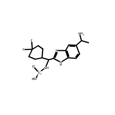 CC(N)c1ccc2[nH]c(C(N[S@+]([O-])C(C)(C)C)C3CCC(F)(F)CC3)nc2c1